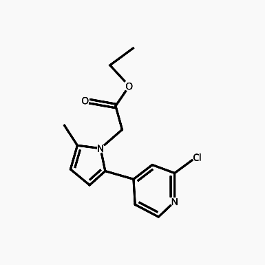 CCOC(=O)Cn1c(C)ccc1-c1ccnc(Cl)c1